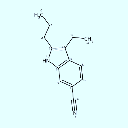 CCCc1[nH]c2cc(C#N)ccc2c1CC